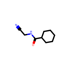 N#CCNC(=O)C1CCCCC1